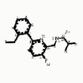 CCc1ccccc1-c1ccc(F)c(CN[C@H](C)C(C)C)n1